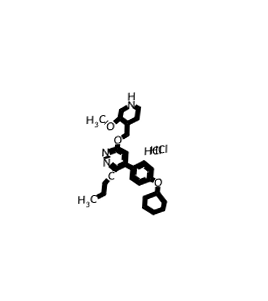 CCCCc1nnc(OCC2CCNCC2OC)cc1-c1ccc(OC2CCCCC2)cc1.Cl.Cl